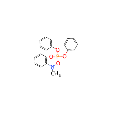 CN(OP(=O)(Oc1ccccc1)Oc1ccccc1)c1ccccc1